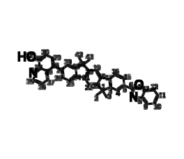 CC1(C)c2cc(-c3nc4ccccc4o3)ccc2-c2cc3c(cc21)-c1ccc(-c2ccc(O)c4ncccc24)cc1C3(C)C